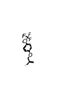 [CH2]C(=C)COc1ccc(OC(F)(F)F)cc1